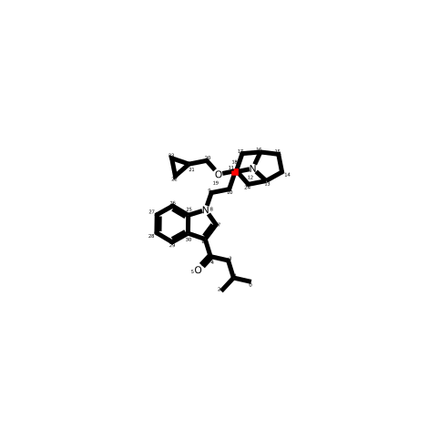 CC(C)CC(=O)c1cn(CCCN2C3CCC2CC(OCC2CC2)C3)c2ccccc12